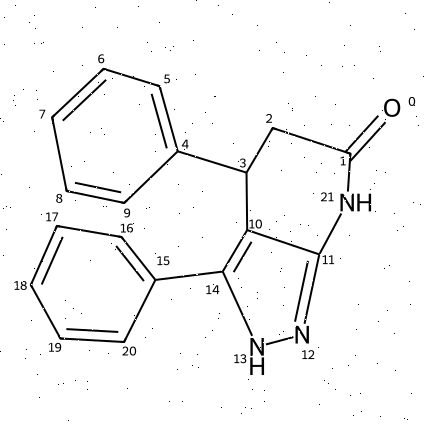 O=C1CC(c2ccccc2)c2c(n[nH]c2-c2ccccc2)N1